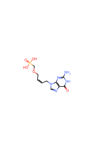 Nc1nc2c(ncn2C/C=C\COCP(=O)(O)O)c(=O)[nH]1